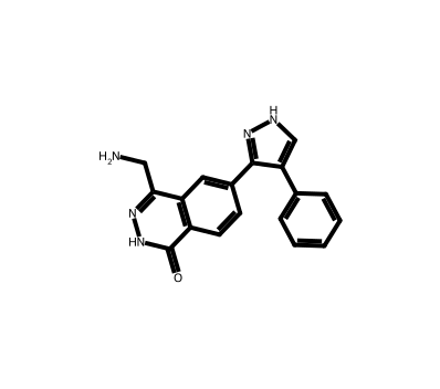 NCc1n[nH]c(=O)c2ccc(-c3n[nH]cc3-c3ccccc3)cc12